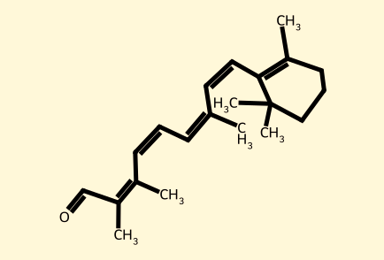 CC1=C(\C=C/C(C)=C\C=C/C(C)=C(/C)C=O)C(C)(C)CCC1